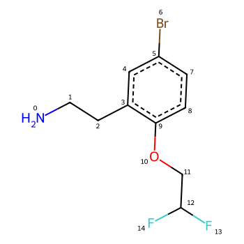 NCCc1cc(Br)ccc1OCC(F)F